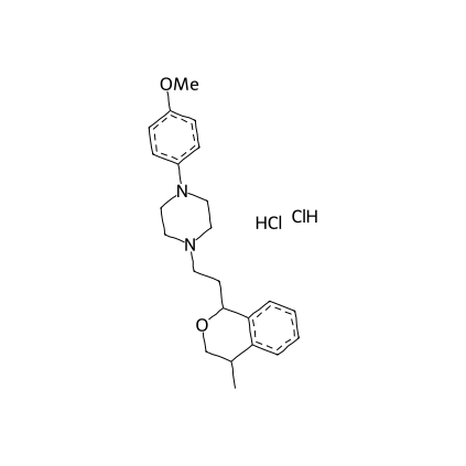 COc1ccc(N2CCN(CCC3OCC(C)c4ccccc43)CC2)cc1.Cl.Cl